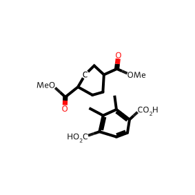 COC(=O)C1CCC(C(=O)OC)CC1.Cc1c(C(=O)O)ccc(C(=O)O)c1C